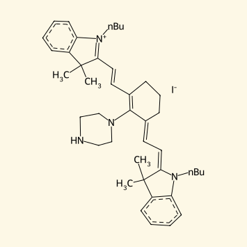 CCCCN1/C(=C/C=C2\CCCC(/C=C/C3=[N+](CCCC)c4ccccc4C3(C)C)=C2N2CCNCC2)C(C)(C)c2ccccc21.[I-]